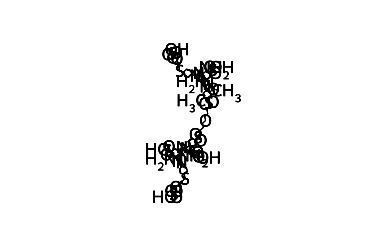 COc1cc(S(=O)(=O)CCCCOCCCCS(=O)(=O)c2ccc(N=Nc3cc(S(=O)(=O)O)c(N)c(N=Nc4ccc(SC#COOS(=O)(=O)O)cc4)c3N)c(SOOO)c2)c(C)cc1N=Nc1cc(S(=O)(=O)O)c(N)c(N=Nc2ccc(SC#COOS(=O)(=O)O)cc2)c1N